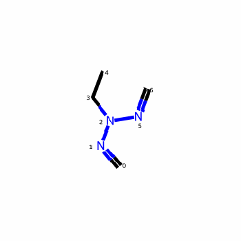 C=NN(CC)N=C